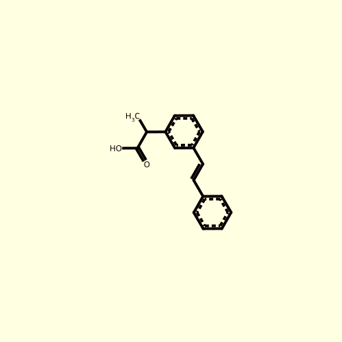 CC(C(=O)O)c1cccc(C=Cc2ccccc2)c1